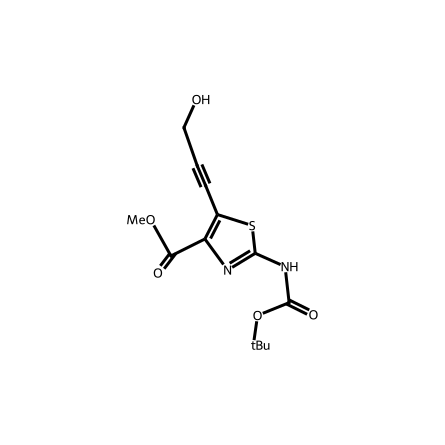 COC(=O)c1nc(NC(=O)OC(C)(C)C)sc1C#CCO